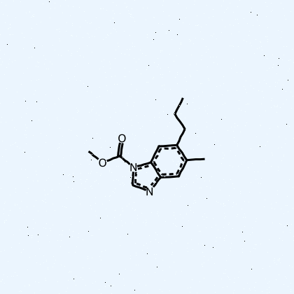 CCCc1cc2c(cc1C)ncn2C(=O)OC